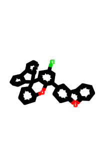 Clc1cc(-c2ccc3oc4ccccc4c3c2)c2c(c1)C1(c3ccccc3O2)c2ccccc2-c2ccccc21